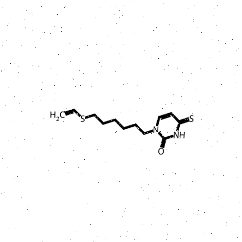 C=CSCCCCCCn1ccc(=S)[nH]c1=O